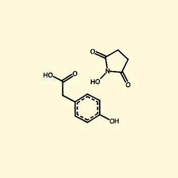 O=C(O)Cc1ccc(O)cc1.O=C1CCC(=O)N1O